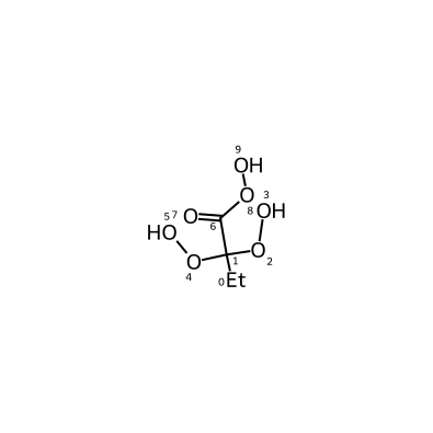 CCC(OO)(OO)C(=O)OO